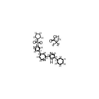 O=C(O)C(F)(F)F.O=S(=O)(C1CCCC1)n1cc(-c2ccnc(-c3ncc(-c4ccccc4)[nH]3)c2)cn1